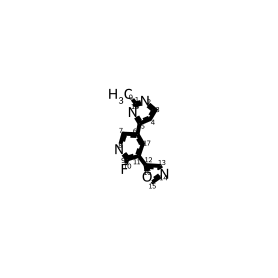 Cc1nccc(-c2cnc(F)c(-c3cnco3)c2)n1